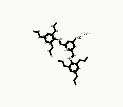 CCCc1cc(CCC)c(N=Cc2cc(C)cc(C=Nc3c(CCC)cc(CCC)cc3CCC)n2)c(CCC)c1.[Cl-].[Cl-].[Co+2]